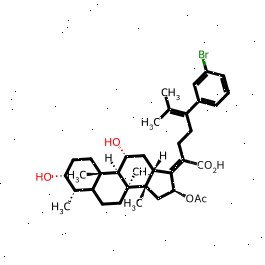 CC(=O)O[C@H]1C[C@@]2(C)[C@H](C[C@@H](O)[C@@H]3[C@@]4(C)CC[C@@H](O)[C@@H](C)C4CC[C@@]32C)C1=C(CCC(=C(C)C)c1cccc(Br)c1)C(=O)O